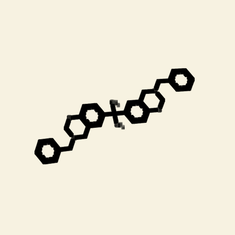 CC(C)(c1ccc2c(c1)CN(Cc1ccccc1)CO2)c1ccc2c(c1)CN(Cc1ccccc1)CO2